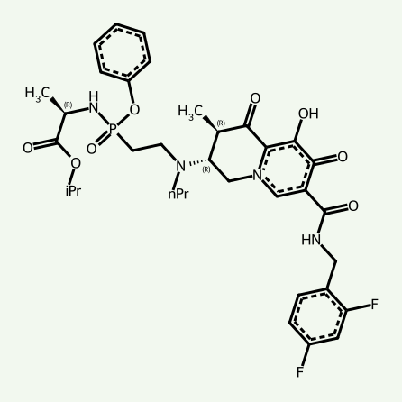 CCCN(CCP(=O)(N[C@H](C)C(=O)OC(C)C)Oc1ccccc1)[C@H]1Cn2cc(C(=O)NCc3ccc(F)cc3F)c(=O)c(O)c2C(=O)[C@@H]1C